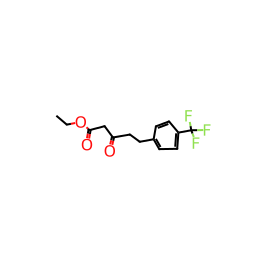 CCOC(=O)CC(=O)CCc1ccc(C(F)(F)F)cc1